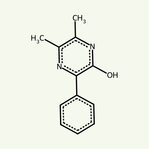 Cc1nc(O)c(-c2ccccc2)nc1C